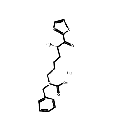 Cl.N[C@@H](CCCCN(Cc1ccccc1)C(=O)O)C(=O)c1nccs1